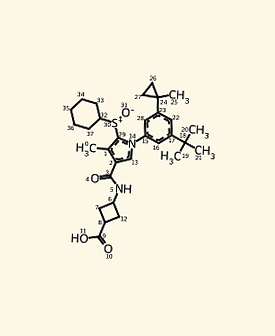 Cc1c(C(=O)NC2CC(C(=O)O)C2)cn(-c2cc(C(C)(C)C)cc(C3(C)CC3)c2)c1[S+]([O-])C1CCCCC1